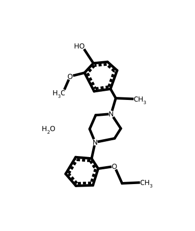 CCOc1ccccc1N1CCN(C(C)c2ccc(O)c(OC)c2)CC1.O